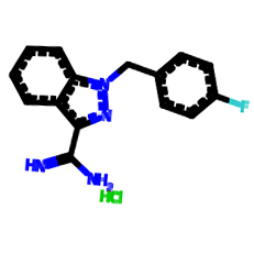 Cl.N=C(N)c1nn(Cc2ccc(F)cc2)c2ccccc12